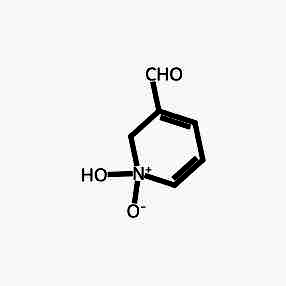 O=CC1=CC=C[N+]([O-])(O)C1